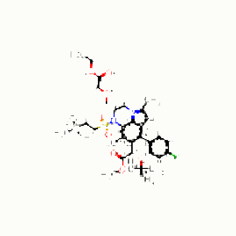 CCOC(=O)COC[C@@H]1Cn2c(C)cc3c(-c4ccc(Cl)cc4)c([C@H](OC(C)(C)C)C(=O)OC)c(C)c(c32)N1S(=O)(=O)CC[Si](C)(C)C